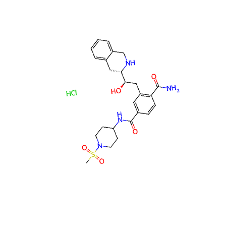 CS(=O)(=O)N1CCC(NC(=O)c2ccc(C(N)=O)c(C[C@@H](O)[C@@H]3Cc4ccccc4CN3)c2)CC1.Cl